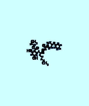 CCC/C=C/C(Cc1cc(O)cc(O)c1C(=O)OCCC)=N/OCC(=O)N1CCC(Cc2ccccc2)CC1